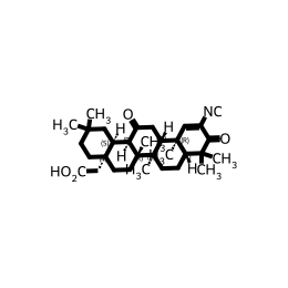 [C-]#[N+]C1=C[C@]2(C)[C@H]3CC(=O)[C@@H]4[C@@H]5CC(C)(C)CC[C@]5(CC(=O)O)CC[C@@]4(C)[C@]3(C)CC[C@H]2C(C)(C)C1=O